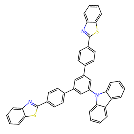 c1ccc2sc(-c3ccc(-c4cc(-c5ccc(-c6nc7ccccc7s6)cc5)cc(-n5c6ccccc6c6ccccc65)c4)cc3)nc2c1